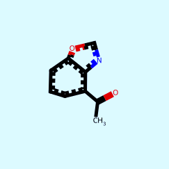 CC(=O)c1cccc2ocnc12